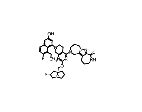 CCc1c(F)ccc2cc(O)cc(N3CCc4c(nc(OC[C@@]56CCCN5C[C@H](F)C6)nc4N4CCCn5nc6c(c5C4)CCCNC6=O)C3)c12